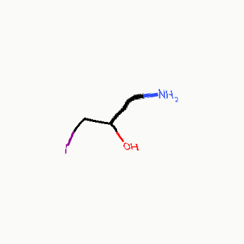 NCC(O)CI